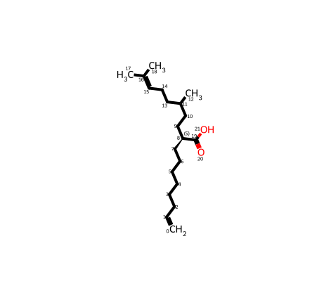 C=CCCCCCC[C@@H](CCC(C)CCC=C(C)C)C(=O)O